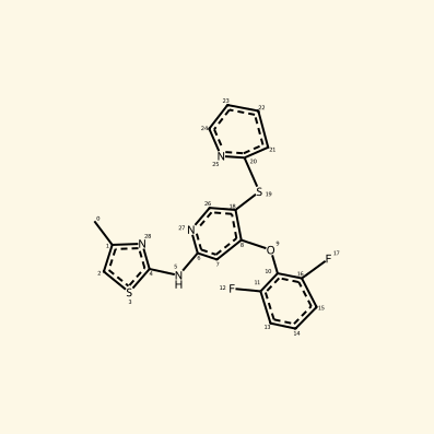 Cc1csc(Nc2cc(Oc3c(F)cccc3F)c(Sc3ccccn3)cn2)n1